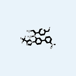 C=C(\C=C/C(=C\C)C(=C/N)/N(N)c1cc(-c2cccc([S+](C)[O-])c2)ccc1-n1cnc(C(F)(F)F)c1)CF